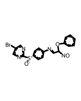 O=NC(C=Nc1ccc([S+]([O-])c2ncc(Br)cn2)cc1)Oc1ccccc1